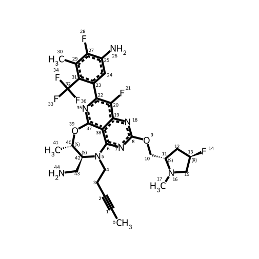 CC#CCCN1c2nc(OC[C@@H]3C[C@@H](F)CN3C)nc3c(F)c(-c4cc(N)c(F)c(C)c4C(F)(F)F)nc(c23)O[C@@H](C)[C@@H]1CN